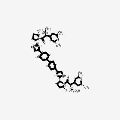 C[C@@H]1CC([C@H](NC(=O)O)C(=O)N2[C@@H](C)CC[C@H]2c2nc(-c3ccc(-c4ccc(-c5c[nH]c([C@@H]6CC[C@H](C)N6C(=O)[C@@H](NC(=O)O)C6C[C@@H](C)O[C@H](C)C6)n5)c(F)c4)cc3)c[nH]2)C[C@@H](C)O1